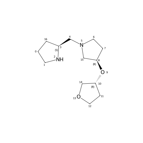 C1CN[C@H](CN2CC[C@@H](O[C@@H]3CCOC3)C2)C1